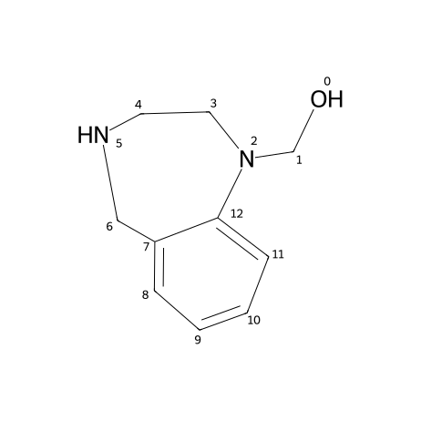 OCN1CCNCc2ccccc21